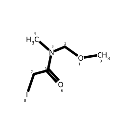 COCN(C)C(=O)CI